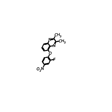 Cc1nc2cccc(Oc3ccc([N+](=O)[O-])cc3F)c2nc1C